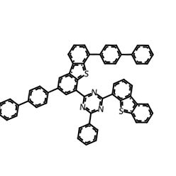 c1ccc(-c2ccc(-c3cc(-c4nc(-c5ccccc5)nc(-c5cccc6c5sc5ccccc56)n4)c4sc5c(-c6ccc(-c7ccccc7)cc6)cccc5c4c3)cc2)cc1